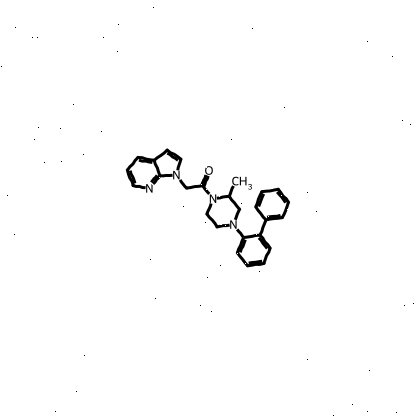 CC1CN(c2ccccc2-c2ccccc2)CCN1C(=O)Cn1ccc2cccnc21